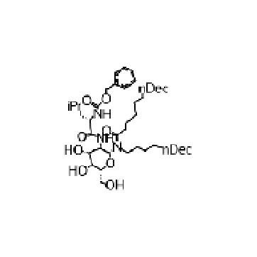 CCCCCCCCCCCCCCCC(=O)N(CCCCCCCCCCCCCC)[C@@H]1O[C@H](CO)[C@@H](O)[C@H](O)[C@H]1NC(=O)[C@H](CC(C)C)NC(=O)OCc1ccccc1